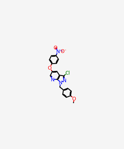 COc1ccc(Cn2nc(Cl)c3cc(Oc4ccc([N+](=O)[O-])cc4)cnc32)cc1